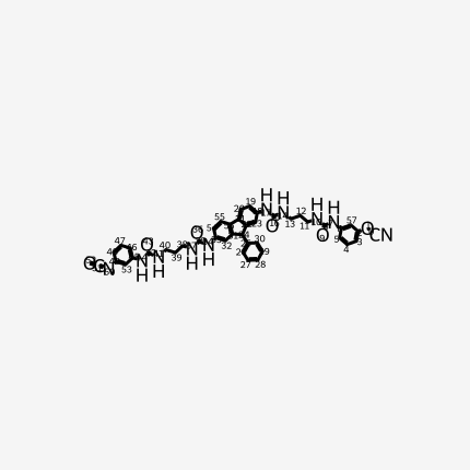 N#COc1cccc(NC(=O)NCCCNC(=O)Nc2ccc3c(c2)C(c2ccccc2)c2cc(NC(=O)NCCCNC(=O)Nc4cccc(N=C=O)c4)ccc2-3)c1